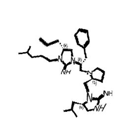 CCC[C@@H]1CN([C@H](Cc2ccccc2)CN2CCC[C@H]2CN2C(=N)NC[C@H]2CC(C)C)C(=N)N1CCCC(C)C